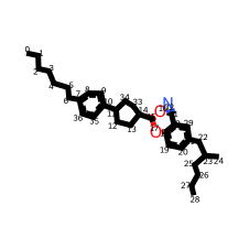 CCCCCCCc1ccc(C2CCC(C(=O)Oc3ccc(CC(C)CCCC)cc3C#N)CC2)cc1